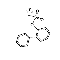 O=S(=O)(CC(F)(F)F)Oc1ccccc1-c1ccccc1